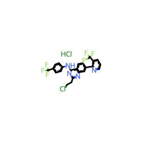 Cl.FC(F)(F)c1ccc(Nc2nc(CCCl)nc3cc(-c4ncccc4C(F)(F)F)ccc23)cc1